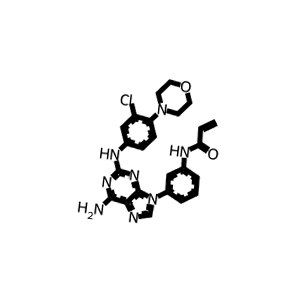 C=CC(=O)Nc1cccc(-n2cnc3c(N)nc(Nc4ccc(N5CCOCC5)c(Cl)c4)nc32)c1